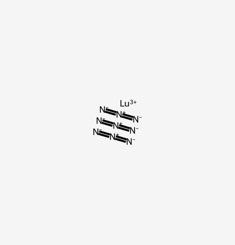 [Lu+3].[N-]=[N+]=[N-].[N-]=[N+]=[N-].[N-]=[N+]=[N-]